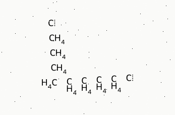 C.C.C.C.C.C.C.C.[C].[C]